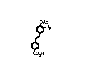 CCOc1cc(C=Cc2ccc(C(=O)O)cc2)ccc1OC(C)=O